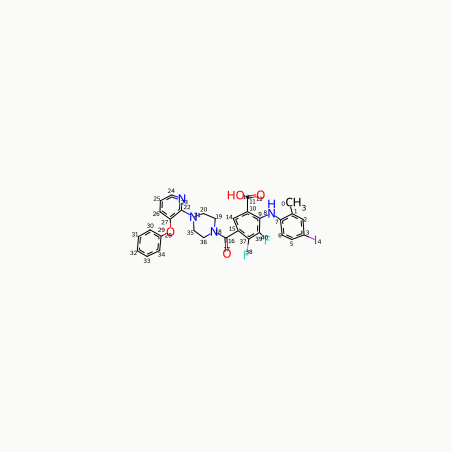 Cc1cc(I)ccc1Nc1c(C(=O)O)cc(C(=O)N2CCN(c3ncccc3Oc3ccccc3)CC2)c(F)c1F